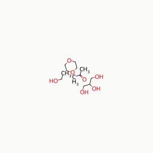 C1COCCO1.CC(C)=O.CCO.OCC(O)CO